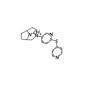 CN1C2CCC1CN(c1ccc(Sc3ccncc3)nc1)CC2